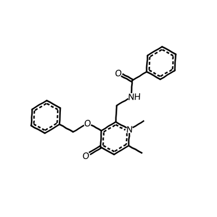 Cc1cc(=O)c(OCc2ccccc2)c(CNC(=O)c2ccccc2)n1C